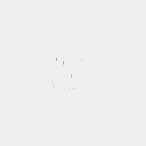 CC1=C(C)C(C)[PH]([Zr+3])=C1C.[H-].[H-].[H-]